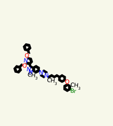 Cc1c(Br)cccc1OC1CCC(CCC[C@@H](C)N2CCN(c3ccc4c(-c5ccc(OCc6ccccc6)nc5OCc5ccccc5)nn(C)c4c3)CC2)CC1